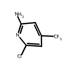 Nc1cc(C(F)(F)F)cc(Cl)n1